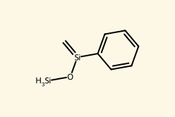 C=[Si](O[SiH3])c1ccccc1